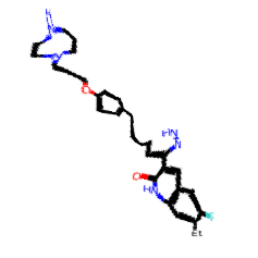 CCc1cc2[nH]c(=O)c(/C(=C/CCCc3ccc(OCCN4CCNCC4)cc3)N=N)cc2cc1F